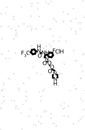 Cl.O=C(Nc1ccc(C(F)(F)F)cc1)Nc1cn(C(=O)OCOC(=O)CN2CCNCC2)c2ccc(F)cc12